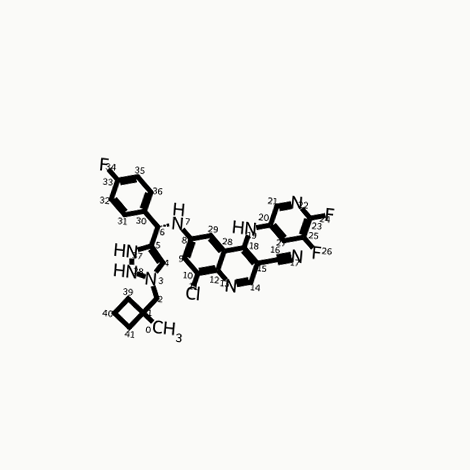 CC1(CN2C=C([C@@H](Nc3cc(Cl)c4ncc(C#N)c(Nc5cnc(F)c(F)c5)c4c3)c3ccc(F)cc3)NN2)CCC1